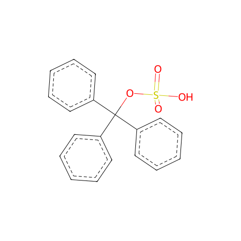 O=S(=O)(O)OC(c1ccccc1)(c1ccccc1)c1ccccc1